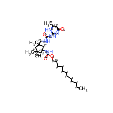 CCCCCCCCCCCCOC(=O)NC1CC(C)(C)CC(C)(CNC(=O)Nc2nc(=O)cc(C)[nH]2)C1